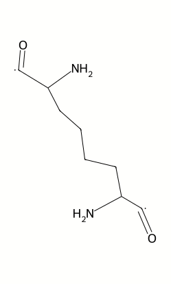 NC([C]=O)CCCCC(N)[C]=O